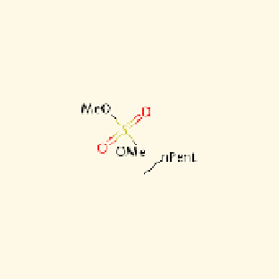 CCCCCC.COS(=O)(=O)OC